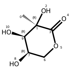 C[C@]1(O)C(=O)OC[C@@H](O)[C@H]1O